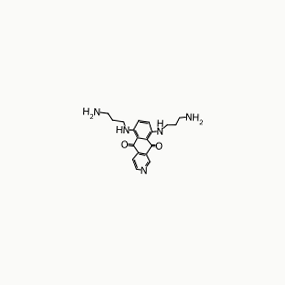 NCCCNc1ccc(NCCCN)c2c1C(=O)c1ccncc1C2=O